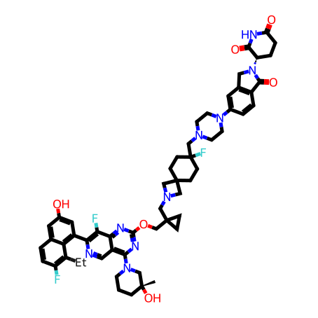 CCc1c(F)ccc2cc(O)cc(-c3ncc4c(N5CCC[C@@](C)(O)C5)nc(OCC5(CN6CC7(CCC(F)(CN8CCN(c9ccc%10c(c9)CN([C@H]9CCC(=O)NC9=O)C%10=O)CC8)CC7)C6)CC5)nc4c3F)c12